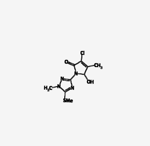 CSc1nc(N2C(=O)C(Cl)=C(C)C2O)nn1C